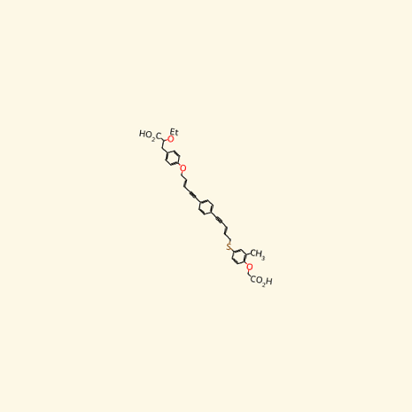 CCOC(Cc1ccc(OCC=CC#Cc2ccc(C#CC=CCSc3ccc(OCC(=O)O)c(C)c3)cc2)cc1)C(=O)O